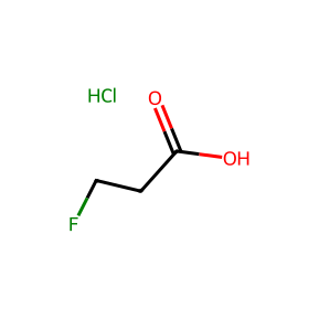 Cl.O=C(O)CCF